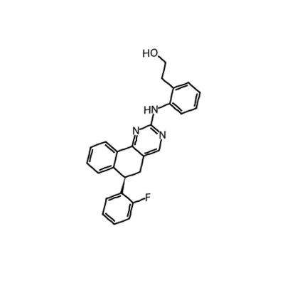 OCCc1ccccc1Nc1ncc2c(n1)-c1ccccc1[C@H](c1ccccc1F)C2